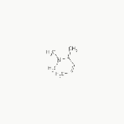 C=C(/C=C\C)N(C)C